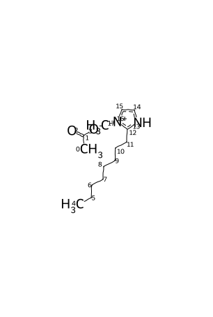 CC(=O)[O-].CCCCCCCCc1[nH]cc[n+]1C